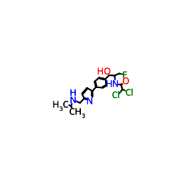 CC(C)NCc1ccc(-c2ccc(C(O)C(CF)NC(=O)C(Cl)Cl)cc2)cn1